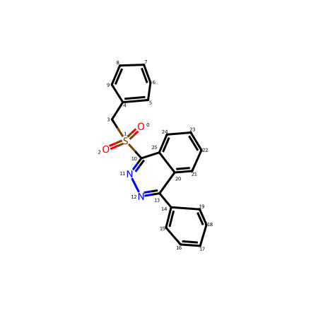 O=S(=O)(Cc1ccccc1)c1nnc(-c2ccccc2)c2ccccc12